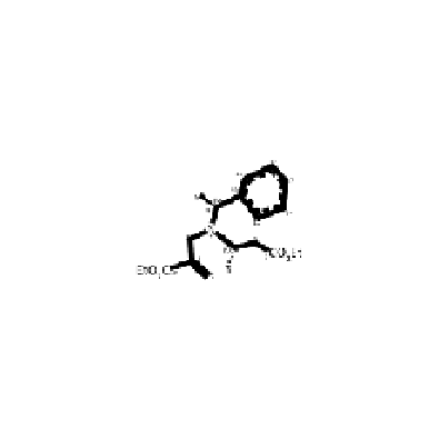 C=C(CN([C@@H](C)CC(=O)OCC)[C@@H](C)c1ccccc1)C(=O)OCC